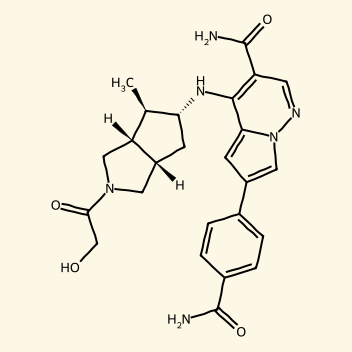 C[C@@H]1[C@H]2CN(C(=O)CO)C[C@H]2C[C@H]1Nc1c(C(N)=O)cnn2cc(-c3ccc(C(N)=O)cc3)cc12